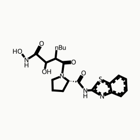 CCCCC(C(=O)N1CCC[C@H]1C(=O)Nc1nc2ccccc2s1)C(O)C(=O)NO